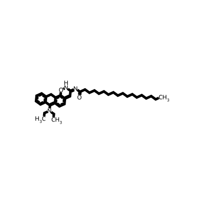 CCCCCCCCCCCCCCCCCC(=O)N=C1C=c2ccc3c(c2ON1)Cc1ccccc1C=3N(CC)CC